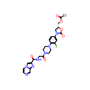 CCC(=O)OC[C@H]1CN(c2ccc(N3CCN(C(=O)CNC(=O)c4cn5ccncc5n4)CC3)c(F)c2)C(=O)O1